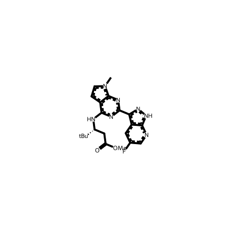 COC(=O)C[C@@H](Nc1nc(-c2n[nH]c3ncc(F)cc23)nc2c1ccn2C)C(C)(C)C